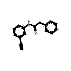 C#Cc1cccc(NC(=O)Cc2ccccc2)c1